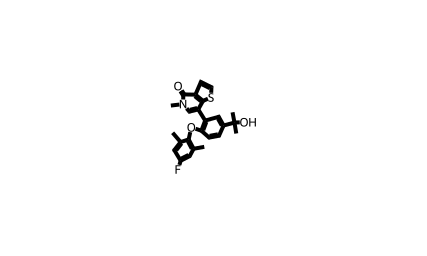 Cc1cc(F)cc(C)c1Oc1ccc(C(C)(C)O)cc1-c1cn(C)c(=O)c2ccsc12